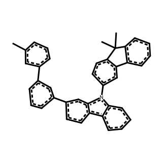 Cc1cccc(-c2cccc(-c3ccc4c5ccccc5n(-c5ccc6c(c5)-c5ccccc5C6(C)C)c4c3)c2)c1